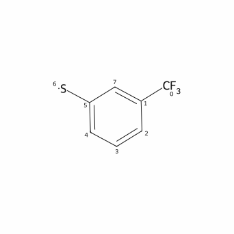 FC(F)(F)c1cccc([S])c1